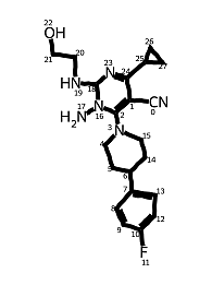 N#CC1=C(N2CCC(c3ccc(F)cc3)CC2)N(N)C(NCCO)N=C1C1CC1